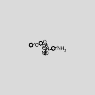 NCc1ccc(CN(C[C@@H]2COc3ccc(OCc4ccccc4)cc3O2)C(=O)c2ncco2)cc1